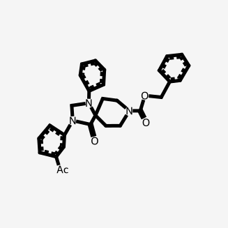 CC(=O)c1cccc(N2CN(c3ccccc3)C3(CCN(C(=O)OCc4ccccc4)CC3)C2=O)c1